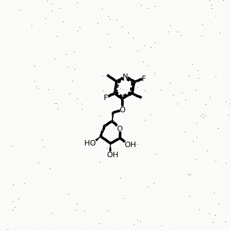 Cc1nc(F)c(C)c(OC[C@@H]2C[C@H](O)[C@H](O)C(O)O2)c1F